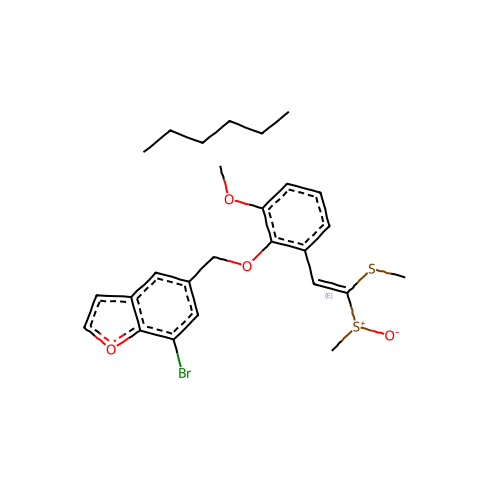 CCCCCC.COc1cccc(/C=C(\SC)[S+](C)[O-])c1OCc1cc(Br)c2occc2c1